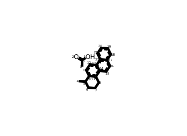 CC(=O)O.CC1CCCc2c1ccc1c2ccc2ccccc21